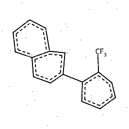 FC(F)(F)c1ccccc1-c1[c]c2ccccc2cc1